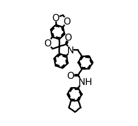 O=C(Nc1ccc2c(c1)CCC2)c1cccc(CN2C(=O)C3(COc4cc5c(cc43)OCO5)c3ccccc32)c1